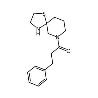 O=C(CCc1ccccc1)N1CCCC2(C1)NCCS2